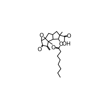 C=C1C(=O)C2OC23CC2CC(C)(C(=O)O)C(OC(=O)CCCCCCC)C2C13C